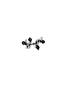 COC(=O)[C@H](Cc1c[nH]c2ccccc12)NC(=O)[C@H](CSSC[C@H](NCc1ccc(C)cc1)C(=O)N[C@@H](Cc1c[nH]c2ccccc12)C(=O)OC)NCc1ccc(C)cc1